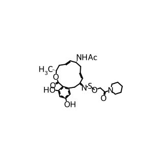 CC(=O)N[C@H]1/C=C/C[C@@H](C)OC(=O)c2c(O)cc(O)cc2CC(=N/SOCC(=O)N2CCCCC2)/C=C/C1